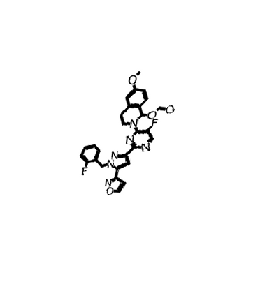 COc1ccc2c(c1)CCN(c1nc(-c3cc(-c4ccon4)n(Cc4ccccc4F)n3)ncc1F)C2OC=O